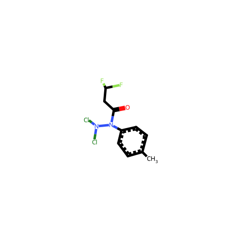 Cc1ccc(N(C(=O)CC(F)F)N(Cl)Cl)cc1